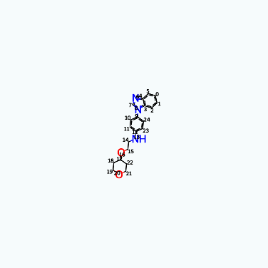 c1ccc2c(c1)ncn2-c1ccc(NCCOC2CCOCC2)cc1